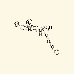 O=C(O)C(CCOCCOCCOCc1ccccc1)Nc1cccc(CN(Cc2ccc(-c3nccs3)cc2)S(=O)(=O)c2ccccn2)n1